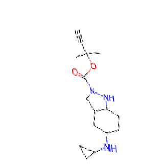 C#CC(C)(C)OC(=O)N1CC2CC(NC3CC3)CCC2N1